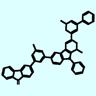 Cc1cc(-c2ccc3c(c2)c2c(n3-c3ccccc3)C(C)CC(C3=CC(c4ccccc4)=CC(C)C3)=C2)cc(-c2ccc3[nH]c4ccccc4c3c2)c1